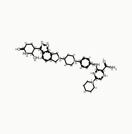 NC(=O)c1ncc(N2CCCCC2)nc1Nc1ccc(N2CCC(N3Cc4ccc5c(C6CCC(=O)NC6O)noc5c4C3)CC2)cc1